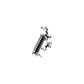 C=CC(=O)O.CSCC[C@H](NC(F)(F)C(F)(F)C(F)(F)C(F)(F)C(F)(F)C(F)(F)C(F)(F)C(F)(F)C(C)F)C(=O)O